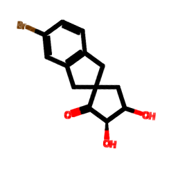 O=C1[C@H](O)C(O)CC12Cc1ccc(Br)cc1C2